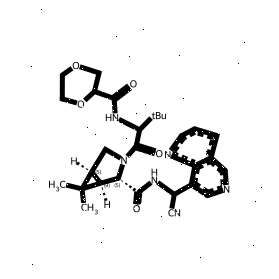 CC(C)(C)C(NC(=O)C1COCCO1)C(=O)N1C[C@H]2[C@@H]([C@H]1C(=O)NC(C#N)c1cncc3cccnc13)C2(C)C